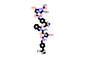 CCCC(=O)N[C@H](C(=O)N1C[C@H](O)C[C@H]1C(=O)NCc1ccc(-c2scnc2COC2c3ccccc3CN2[C@H](C(=O)N2C[C@H](O)C[C@H]2C(=O)NCc2ccc(-c3scnc3CC)cc2)C(C)C)cc1)C(C)(C)C